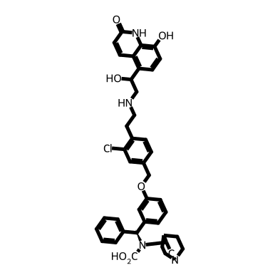 O=C(O)N(C1CN2CCC1CC2)[C@@H](c1ccccc1)c1cccc(OCc2ccc(CCNCC(O)c3ccc(O)c4[nH]c(=O)ccc34)c(Cl)c2)c1